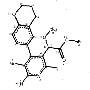 Cc1nc(N)c(Br)c(-c2ccc3c(c2)CCCO3)c1[C@H](OC(C)(C)C)C(=O)OC(C)C